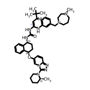 C[C@H]1CCCCN1c1nnc2ccc(O[C@@H]3CC[C@H](NC(=O)N/C(=C/C(=N)C(C)(C)C)Nc4cccc(CN5CCCN(C)CC5)c4)c4ccccc43)cn12